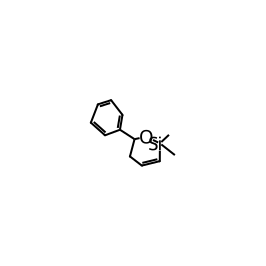 C[Si]1(C)C=CCC(c2ccccc2)O1